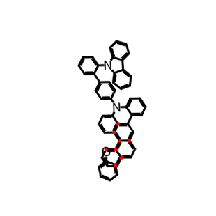 c1ccc(-c2ccc(-c3ccccc3N(c3ccc(-c4ccccc4-n4c5ccccc5c5ccccc54)cc3)c3cccc(-c4cccc5c4oc4ccccc45)c3)cc2)cc1